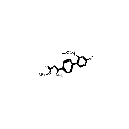 CC(=O)O.CC(C)(C)OC(=O)CC(N)c1ccc(-c2ccc(F)cc2F)cc1